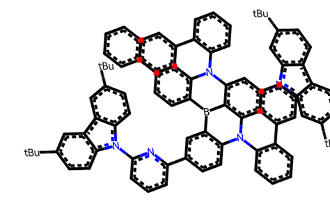 CC(C)(C)c1ccc2c(c1)c1cc(C(C)(C)C)ccc1n2-c1cccc(-c2ccc3c(c2)B2c4ccc(-c5ccccc5)cc4N(c4ccccc4-c4ccccc4)c4cc(-n5c6cc(C(C)(C)C)ccc6c6ccc(C(C)(C)C)cc65)cc(c42)N3c2ccccc2-c2ccccc2)n1